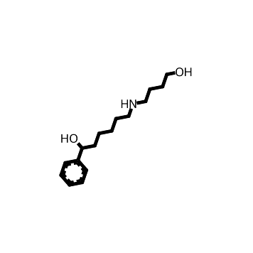 OCCCCNCCCCCC(O)c1ccccc1